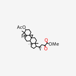 COC(=O)C(=O)C[C@@H](C)C1CC[C@@]2(C)C3CC[C@H]4C(C)(C)C(OC(C)=O)CCC45CC35CCC12C